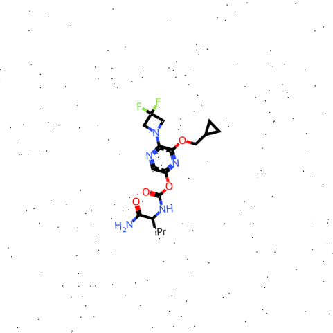 CC(C)C(NC(=O)Oc1cnc(N2CC(F)(F)C2)c(OCC2CC2)n1)C(N)=O